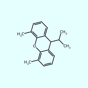 Cc1cccc2c1Oc1c(C)cccc1C2C(C)C